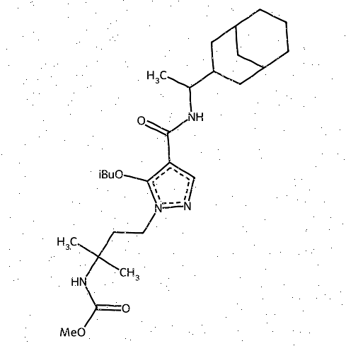 COC(=O)NC(C)(C)CCn1ncc(C(=O)NC(C)C2CC3CCCC(C3)C2)c1OCC(C)C